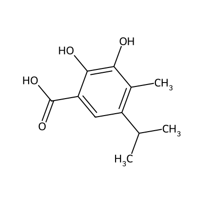 Cc1c(C(C)C)cc(C(=O)O)c(O)c1O